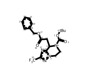 CC(C)(C)OC(=O)N1CCn2nc(C(F)(F)F)nc2C1CC(=O)OCc1ccccc1